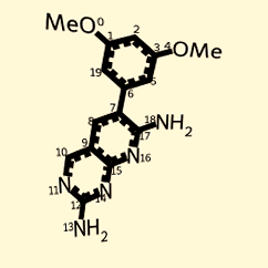 COc1cc(OC)cc(-c2cc3cnc(N)nc3nc2N)c1